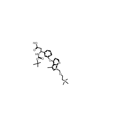 Cc1cn(COCCS(C)(C)C)c2nccc(Oc3cccc(C(CC(=O)O)NC(=O)OC(C)(C)C)c3)c12